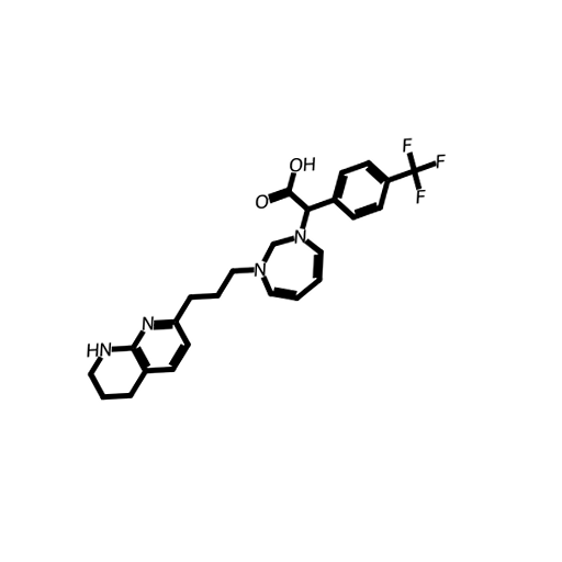 O=C(O)C(c1ccc(C(F)(F)F)cc1)N1C=CC=CN(CCCc2ccc3c(n2)NCCC3)C1